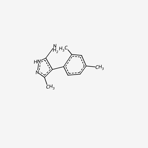 Cc1ccc(-c2c(C)n[nH]c2N)c(C)c1